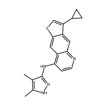 Cc1[nH]nc(Nc2ccnc3cc4c(C5CC5)csc4cc23)c1C